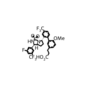 COc1ccc(CCC(=O)O)cc1-c1ccc(C(F)(F)F)cc1[C@@H]1CC[C@H]2[C@@H](c3cc(F)cc(C(F)(F)F)c3)NS(=O)(=O)N12